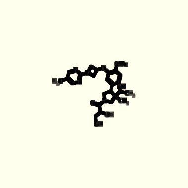 COc1ccc([C@@H]2CN(C(=O)C(O)CO)C[C@@]2(C)C(C)O)cc1OC1CN(c2ncc(C)cn2)C1